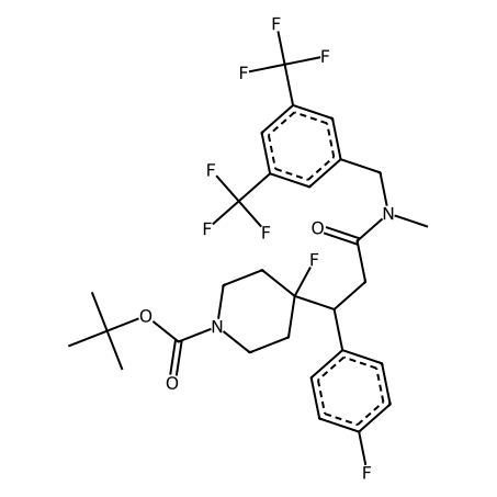 CN(Cc1cc(C(F)(F)F)cc(C(F)(F)F)c1)C(=O)CC(c1ccc(F)cc1)C1(F)CCN(C(=O)OC(C)(C)C)CC1